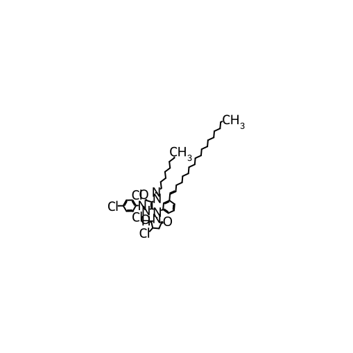 CCCCCCCCCCCCCCCCC=Cc1cccc(N(c2[nH]n(-c3c(Cl)cc(Cl)cc3Cl)c(=O)c2N=NCCCCCCCC)N2C(=O)CC(Cl)C2=O)c1